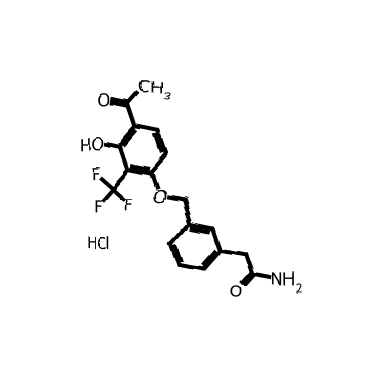 CC(=O)c1ccc(OCc2cccc(CC(N)=O)c2)c(C(F)(F)F)c1O.Cl